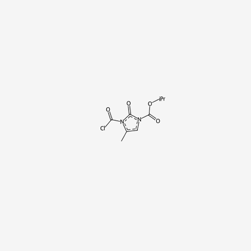 Cc1cn(C(=O)OC(C)C)c(=O)n1C(=O)Cl